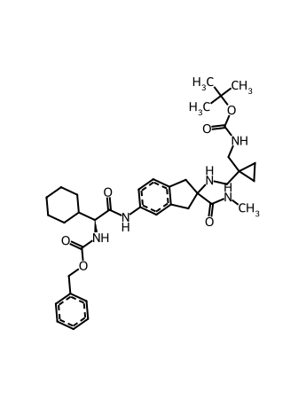 CNC(=O)C1(NCC2(CNC(=O)OC(C)(C)C)CC2)Cc2ccc(NC(=O)[C@@H](NC(=O)OCc3ccccc3)C3CCCCC3)cc2C1